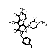 CN1CCN(c2nn(Cc3ccc(F)cc3)c(=O)c3c(O)c4n(c23)CCN(C)C4=O)CC1=O